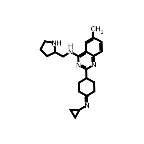 Cc1ccc2nc(C3CCC(=NC4CC4)CC3)nc(NCC3CCCN3)c2c1